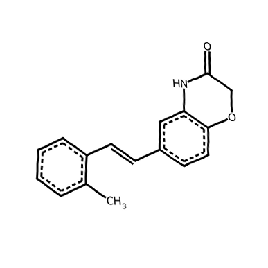 Cc1ccccc1C=Cc1ccc2c(c1)NC(=O)CO2